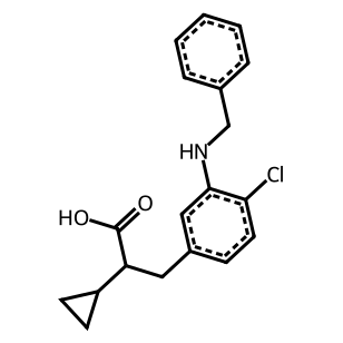 O=C(O)C(Cc1ccc(Cl)c(NCc2ccccc2)c1)C1CC1